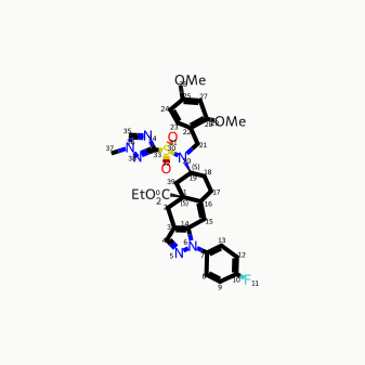 CCOC(=O)[C@]12Cc3cnn(-c4ccc(F)cc4)c3C=C1CC[C@H](N(Cc1ccc(OC)cc1OC)S(=O)(=O)c1ncn(C)n1)C2